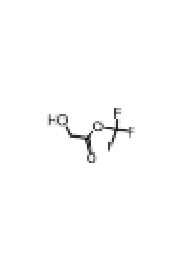 O=C(CO)OC(F)(F)F